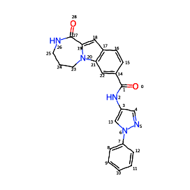 O=C(Nc1cnn(-c2ccccc2)c1)c1ccc2cc3n(c2c1)CCCNC3=O